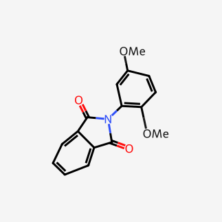 COc1ccc(OC)c(N2C(=O)c3ccccc3C2=O)c1